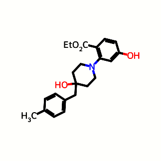 CCOC(=O)c1ccc(O)cc1N1CCC(O)(Cc2ccc(C)cc2)CC1